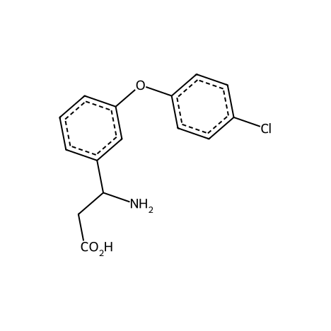 NC(CC(=O)O)c1cccc(Oc2ccc(Cl)cc2)c1